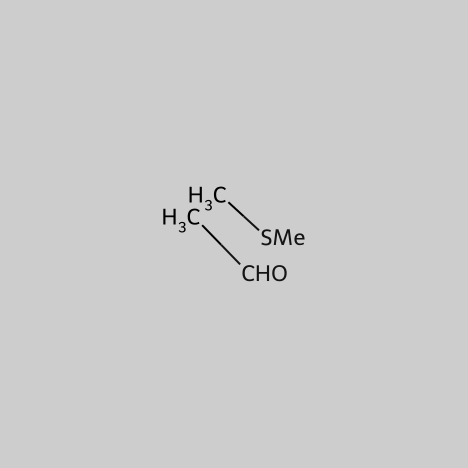 CC=O.CSC